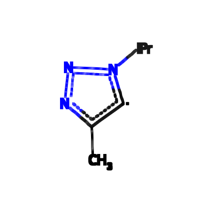 Cc1[c]n(C(C)C)nn1